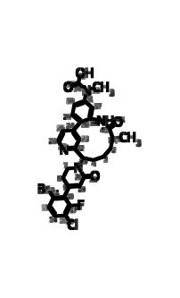 C[C@@H]1CCC[C@H](N2CCC(c3c(Br)ccc(Cl)c3F)=CC2=O)c2cc(ccn2)-c2ccc(N(C)C(=O)O)cc2NC1=O